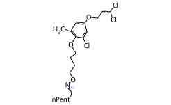 CCCCC/C=N/OCCCCOc1c(C)cc(OCC=C(Cl)Cl)cc1Cl